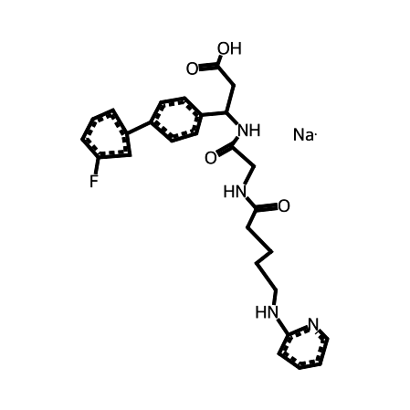 O=C(O)CC(NC(=O)CNC(=O)CCCCNc1ccccn1)c1ccc(-c2cccc(F)c2)cc1.[Na]